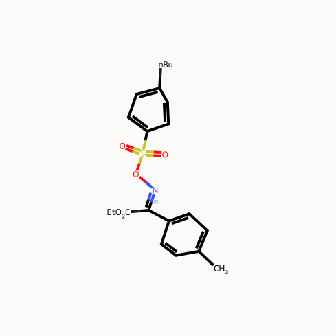 CCCCc1ccc(S(=O)(=O)O/N=C(\C(=O)OCC)c2ccc(C)cc2)cc1